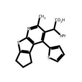 CCCC(C(=O)O)c1c(C)nc2sc3c(c2c1-c1cccs1)CCC3